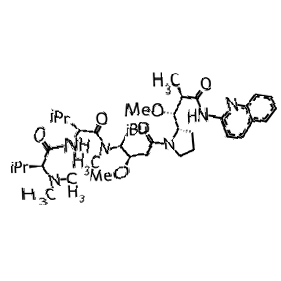 CC[C@H](C)[C@@H]([C@@H](CC(=O)N1CCC[C@H]1[C@H](OC)[C@@H](C)C(=O)Nc1ccc2ccccc2n1)OC)N(C)C(=O)[C@@H](NC(=O)[C@H](C(C)C)N(C)C)C(C)C